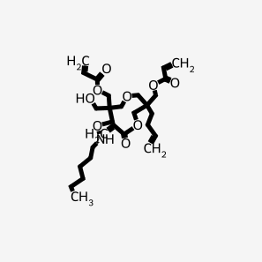 C=CCCC(COCC(CO)(CONCCCCCC)COC(=O)C=C)(COC(=O)C=C)COC(=O)C=C